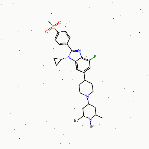 CCC1CC(N2CCC(c3cc(F)c4nc(-c5ccc(S(C)(=O)=O)cc5)n(C5CC5)c4c3)CC2)CC(C)N1C(C)C